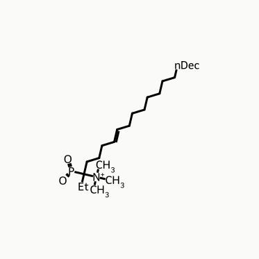 CCCCCCCCCCCCCCCCCC=CCCCC(CC)(P(=O)=O)[N+](C)(C)C